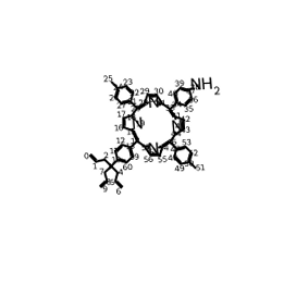 C=CCC(CC=C)(CC=C)c1ccc(C2=C3C=CC(=N3)C(c3ccc(C)cc3)=C3C=CC(=N3)C(c3ccc(N)cc3)=C3C=CC(=N3)C(c3ccc(C)cc3)=C3C=CC2=N3)cc1